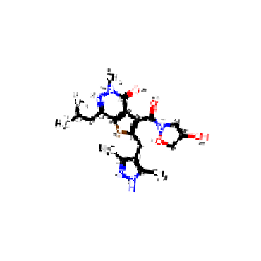 Cc1n[nH]c(C)c1Cc1sc2c(CC(C)C)nn(C)c(=O)c2c1C(=O)N1CC(O)CO1